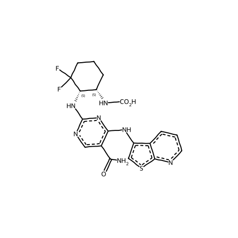 NC(=O)c1cnc(N[C@H]2[C@@H](NC(=O)O)CCCC2(F)F)nc1Nc1csc2ncccc12